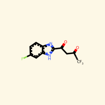 O=C(CC(=O)C(F)(F)F)c1nc2ccc(F)cc2[nH]1